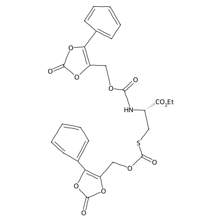 CCOC(=O)[C@H](CSC(=O)OCc1oc(=O)oc1-c1ccccc1)NC(=O)OCc1oc(=O)oc1-c1ccccc1